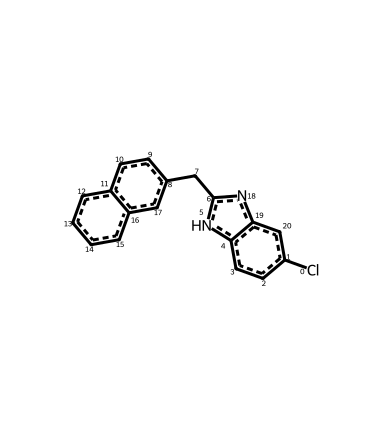 Clc1ccc2[nH]c(Cc3ccc4ccccc4c3)nc2c1